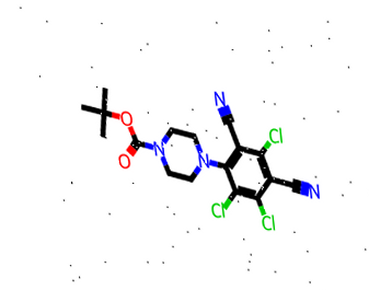 CC(C)(C)OC(=O)N1CCN(c2c(Cl)c(Cl)c(C#N)c(Cl)c2C#N)CC1